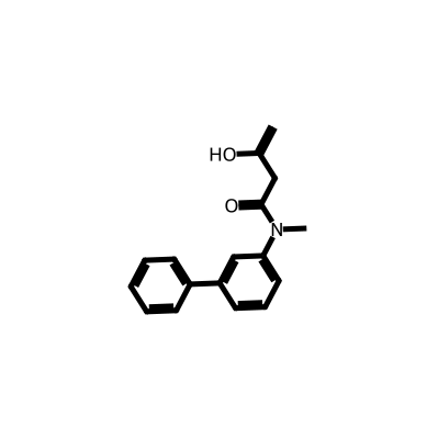 C=C(O)CC(=O)N(C)c1cccc(-c2ccccc2)c1